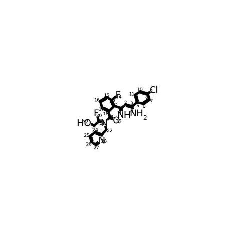 N=C(/C=C(\N)c1ccc(Cl)cc1)c1c(F)cccc1C(=O)N(Cc1ccccn1)C(F)CO